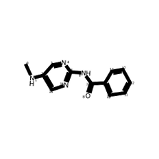 CNc1cnc(NC(=O)c2ccccc2)nc1